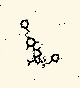 Cc1cc(OCc2ccccc2)cc(C)c1-c1nc2c(C(C)C)cn(S(=O)(=O)Cc3ccccc3)c2cc1F